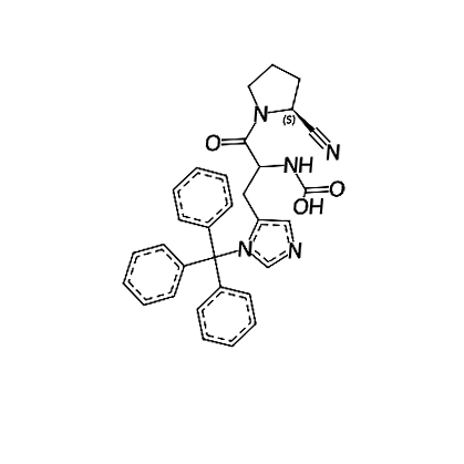 N#C[C@@H]1CCCN1C(=O)C(Cc1cncn1C(c1ccccc1)(c1ccccc1)c1ccccc1)NC(=O)O